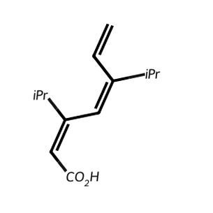 C=CC(=CC(=CC(=O)O)C(C)C)C(C)C